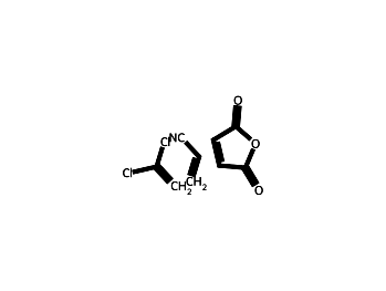 C=C(Cl)Cl.C=CC#N.O=C1C=CC(=O)O1